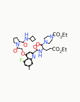 CCOC(=O)CCC(NC(=O)c1cc(OCC(=O)N2CCCC2C(=O)NC2CCC2)c2c(F)cc(C)cc2n1)C(=O)N1CCN(C(=O)OCC)CC1